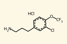 Cl.NCCCc1ccc(OC(F)(F)F)c(Cl)c1